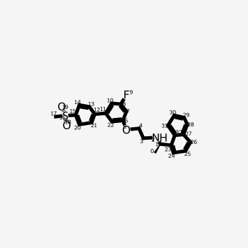 C[C@@H](NCCOc1cc(F)cc(-c2ccc(S(C)(=O)=O)cc2)c1)c1cccc2ccccc12